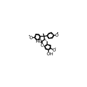 COc1ccc(C(C)(c2ccc(OC)cc2)[C@H](Cc2ccc(O)c(OC)c2)C(=O)O)cc1